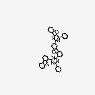 c1ccc(-c2nc(-c3cccc4c3oc3ccc(-c5nc(-c6ccccc6)c6oc7ccccc7c6n5)cc34)nc(-c3cccc4c3sc3ccccc34)n2)cc1